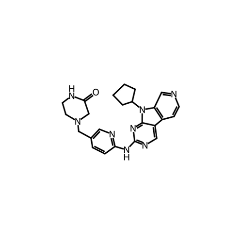 O=C1CN(Cc2ccc(Nc3ncc4c5ccncc5n(C5CCCC5)c4n3)nc2)CCN1